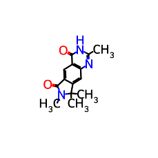 Cc1nc2cc3c(cc2c(=O)[nH]1)C(=O)N(C)C3(C)C